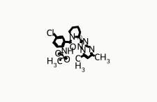 Cc1cc(C)n2nc([C@@H]3CCCCN3C(=O)c3cc(Cl)ccc3NS(C)(=O)=O)nc2n1